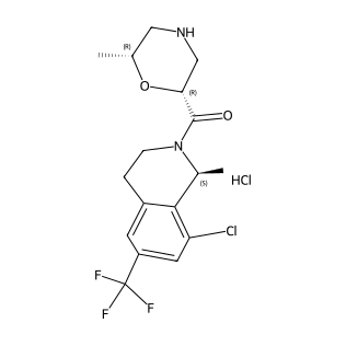 C[C@@H]1CNC[C@H](C(=O)N2CCc3cc(C(F)(F)F)cc(Cl)c3[C@@H]2C)O1.Cl